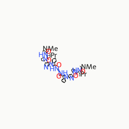 CN[C@@H](C)C(=O)N[C@H](C(=O)N1CCC[C@H]1c1cncc(-n2cc(C(=O)NCCNC(=O)c3cn(-c4cncc([C@@H]5CCCN5C(=O)[C@@H](NC(=O)[C@H](C)NC)C(C)C)c4)c4ccccc34)c3ccccc32)c1)C(C)C